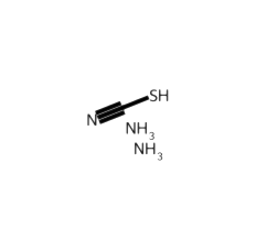 N.N.N#CS